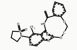 C=C1Nc2nc(nc3cnc(N4CCCS4(=O)=O)c(C(F)(F)F)c23)OCCOc2ccccc21